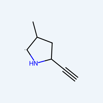 C#CC1CC(C)[CH]N1